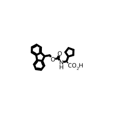 O=C(N[C@H](C(=O)O)C1CCCC1)OCC1c2ccccc2-c2ccccc21